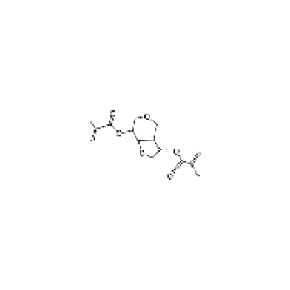 C=C(C)C(=O)OC1COCC2C1OC[C@H]2OC(=O)C(=C)C